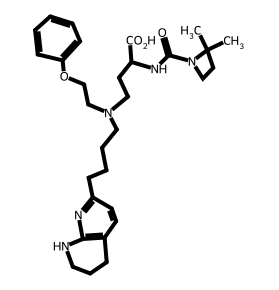 CC1(C)CCN1C(=O)NC(CCN(CCCCc1ccc2c(n1)NCCC2)CCOc1ccccc1)C(=O)O